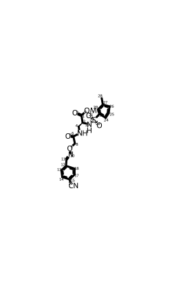 COC(=O)[C@H](CNC(=O)CON=Cc1ccc(C#N)cc1)NS(=O)(=O)c1cccc(C)c1